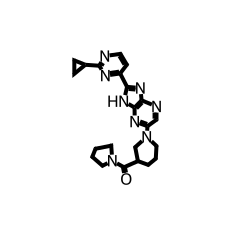 O=C(C1CCCN(c2cnc3nc(-c4ccnc(C5CC5)n4)[nH]c3n2)C1)N1CCCC1